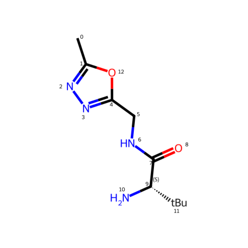 Cc1nnc(CNC(=O)[C@@H](N)C(C)(C)C)o1